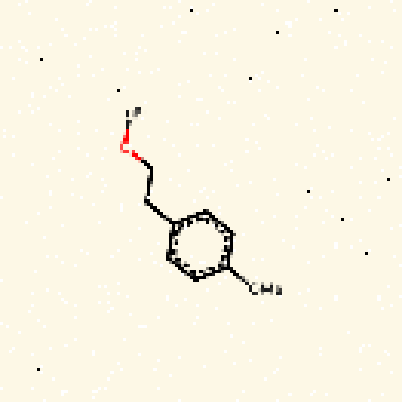 [CH2]CCOCCc1ccc(OC)cc1